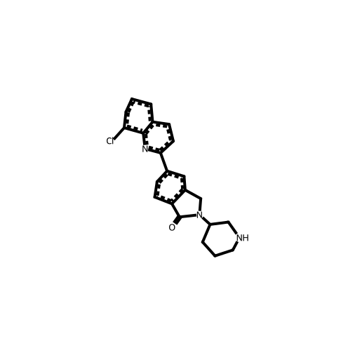 O=C1c2ccc(-c3ccc4cccc(Cl)c4n3)cc2CN1C1CCCNC1